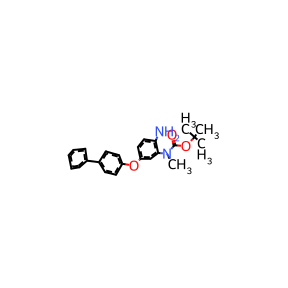 CN(C(=O)OC(C)(C)C)c1cc(Oc2ccc(-c3ccccc3)cc2)ccc1N